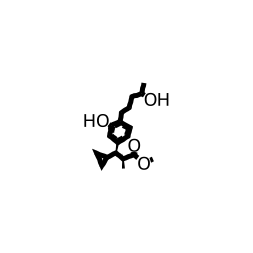 COC(=O)[C@@H](C)[C@H](c1ccc(CCCC(C)O)c(O)c1)C1CC1